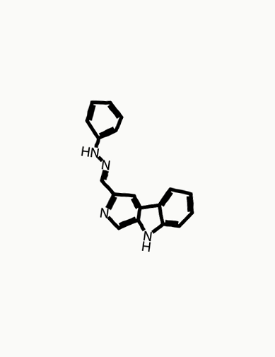 C(=NNc1ccccc1)c1cc2c(cn1)[nH]c1ccccc12